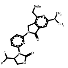 CNCc1nc(N(C)C)cc2c1CN(c1cccc(N3C(=O)OCC3C(F)F)n1)C2=O